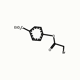 CCOC(=O)c1ccc(OC(=O)CBr)cc1